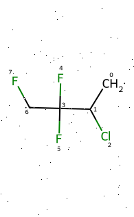 [CH2]C(Cl)C(F)(F)[CH]F